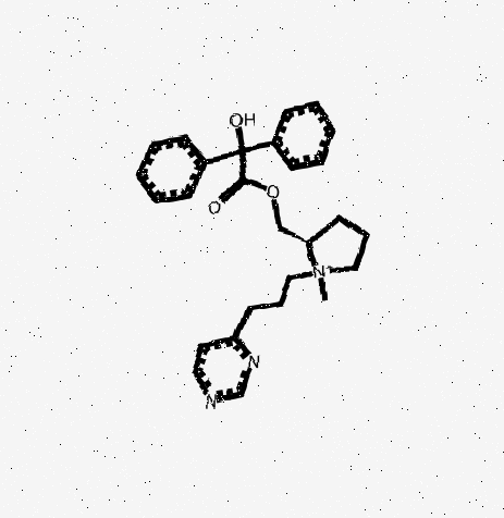 C[N+]1(CCCc2ccncn2)CCC[C@@H]1COC(=O)C(O)(c1ccccc1)c1ccccc1